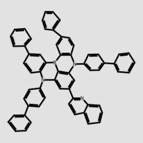 c1ccc(-c2ccc(N3c4ccc(-c5ccccc5)cc4B4c5cc(-c6ccccc6)ccc5N(c5ccc(-c6ccccc6)cc5)c5cc(-c6ccc7ccccc7n6)cc3c54)cc2)cc1